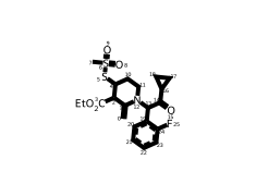 C=C1C(C(=O)OCC)C(SS(C)(=O)=O)CCN1C(C(=O)C1CC1)c1ccccc1F